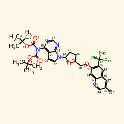 CC(C)(C)OC(=O)N(C(=O)OC(C)(C)C)c1ncnc2c1ccn2C1CCC(COc2cc3ncc(Br)cc3cc2C(F)(F)F)O1